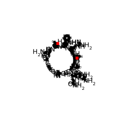 CC(C)CC1NC(=O)[C@H](CC(N)=O)NC(=O)[C@H](C)CCCCCn2cc(nn2)CCC[C@@H](C(=O)N[C@@H](CCC(N)=O)C(=O)N[C@@H](CC(N)=O)C(N)=O)NN[C@@H](CC(C)C)C(=O)C(=O)[C@H](CC(C)C)NC(=O)C(CCCNC(=N)N)NC(=O)[C@H](Cc2c[nH]c3ccccc23)NC1=O